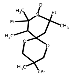 CCCC1(C)COC2(CC(C)(CC)N([O])C(C)(CC)C2C)OC1